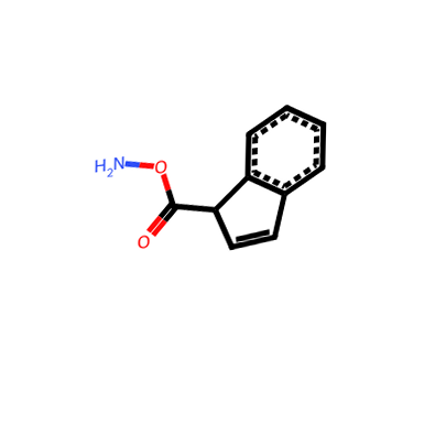 NOC(=O)C1C=Cc2ccccc21